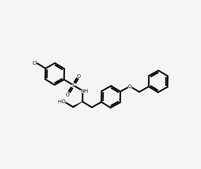 O=S(=O)(N[C@H](CO)Cc1ccc(OCc2ccccc2)cc1)c1ccc(Cl)cc1